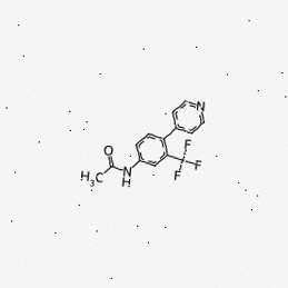 CC(=O)Nc1ccc(-c2ccncc2)c(C(F)(F)F)c1